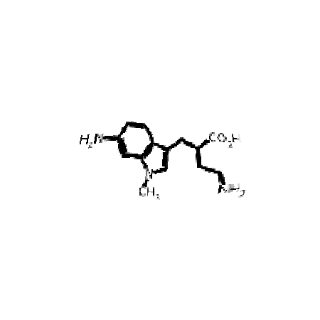 Cn1cc(CC(CCN)C(=O)O)c2ccc(N)cc21